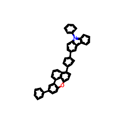 c1ccc(-c2ccc3c(c2)-c2cccc4c(-c5ccc(-c6ccc7c(c6)c6ccccc6n7-c6ccccc6)cc5)ccc(c24)O3)cc1